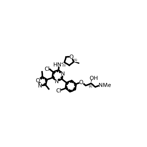 CNC[C@@H](O)COc1ccc(Cl)c(-c2nc(N[C@@H]3CO[C@@H](C)C3)c(Cl)c(-c3c(C)noc3C)n2)c1